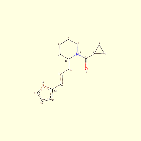 O=C(C1CC1)N1CCCCC1C/C=C/c1cccs1